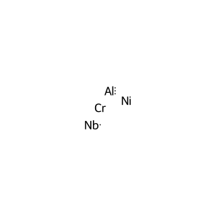 [Al].[Cr].[Nb].[Ni]